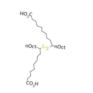 CCCCCCCCC(CCCCCCCCC(=O)O)SSC(CCCCCCCC)CCCCCCCCC(=O)O